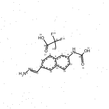 NN=Cc1ccc2cc(NC(=O)O)ccc2c1.O=C(O)C(F)(F)F